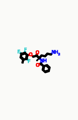 Cc1cc(F)c(F)c(OCC(=O)[C@](C)(CCCCN)NC(=O)c2ccccc2)c1F